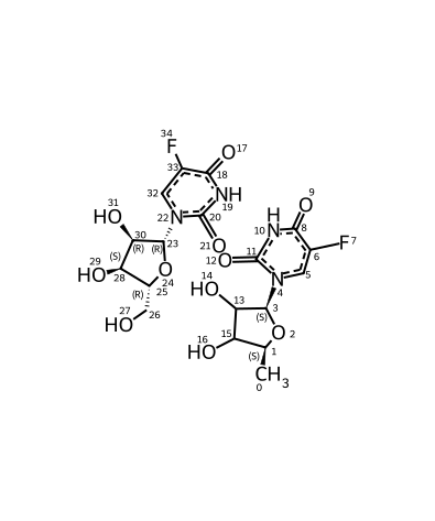 C[C@@H]1O[C@H](n2cc(F)c(=O)[nH]c2=O)C(O)C1O.O=c1[nH]c(=O)n([C@@H]2O[C@H](CO)[C@@H](O)[C@H]2O)cc1F